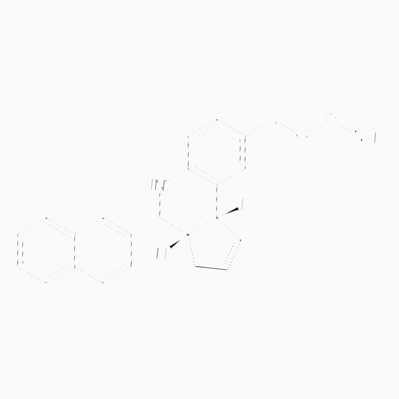 NOOSc1ccc2c(c1)[C@@H]1C=CC[C@@H]1[C@H](c1ccc3ccccc3c1)N2